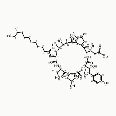 CC[C@H](C)C[C@H](C)CCCCCCCCC(=O)N[C@H]1C[C@@H](O)[C@@H](O)NC(=O)[C@@H]2[C@@H](O)[C@@H](C)CN2C(=O)[C@H]([C@H](O)CC(N)=O)NC(=O)[C@H]([C@H](O)[C@@H](O)c2ccc(O)cc2)NC(=O)[C@@H]2C[C@@H](O)CN2C(=O)[C@H]([C@@H](C)O)NC1=O